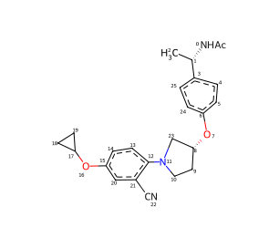 CC(=O)N[C@@H](C)c1ccc(O[C@@H]2CCN(c3ccc(OC4CC4)cc3C#N)C2)cc1